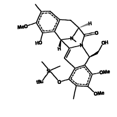 COc1c(C)cc2c(c1O)[C@H]1C3=Cc4c(O[Si](C)(C)C(C)(C)C)c(C)c(OC)c(OC)c4[C@H](CO)N3C(=O)[C@H](C2)N1C